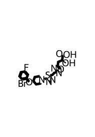 O=C(O)[C@@H](O)Cc1nc(-c2nnc(N3CCC(Oc4cc(F)ccc4Br)CC3)s2)no1